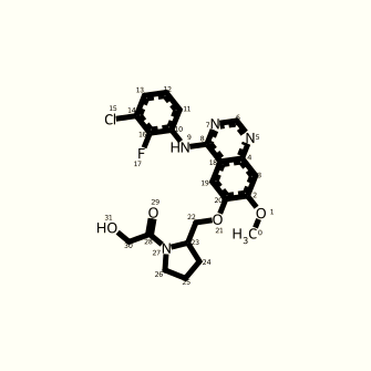 COc1cc2ncnc(Nc3cccc(Cl)c3F)c2cc1OCC1CCCN1C(=O)CO